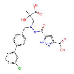 CC(O)(CN(Cc1ccc(-c2cccc(Cl)c2)cc1)NC(=O)c1cc(C(=O)O)n[nH]1)C(=O)O